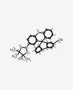 CC1(C)OB(c2ccc3c(c2)C2(c4ccccc4S3)c3ccccc3-c3ccc(C#N)cc32)OC1(C)C